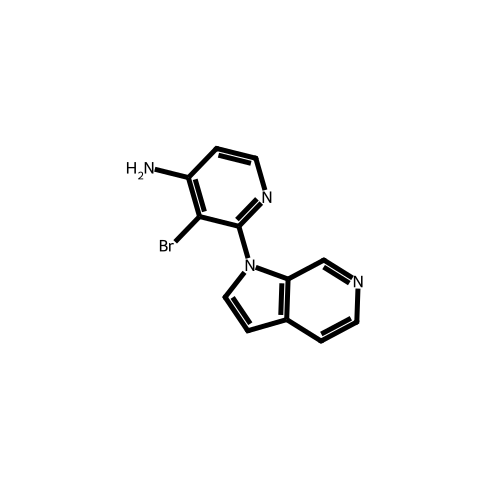 Nc1ccnc(-n2ccc3ccncc32)c1Br